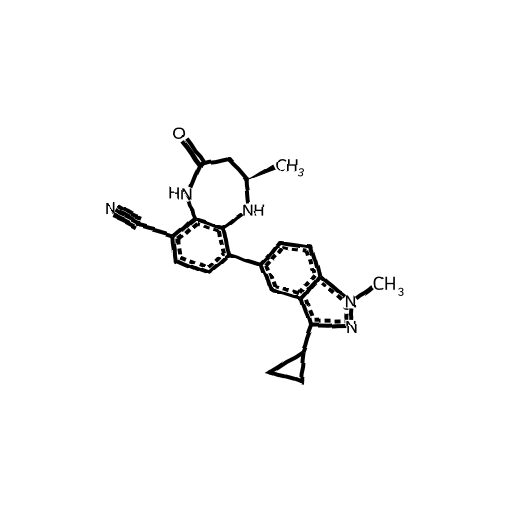 C[C@@H]1CC(=O)Nc2c(C#N)ccc(-c3ccc4c(c3)c(C3CC3)nn4C)c2N1